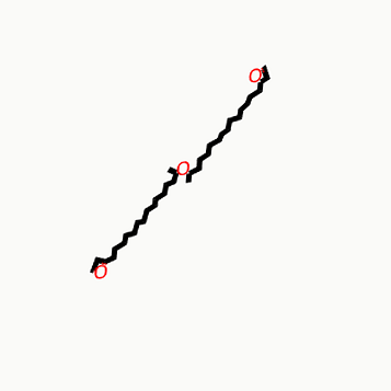 CC(CCCCCCCCCCCCCC1CCO1)OC(C)CCCCCCCCCCCCCC1CCO1